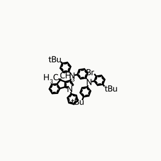 CC(C)(C)c1ccc(N(c2cccc(N(c3ccc(C(C)(C)C)cc3)c3cn(-c4ccccc4)c4c3C(C)(C)c3ccccc3-4)c2)c2cc(C(C)(C)C)ccc2Br)cc1